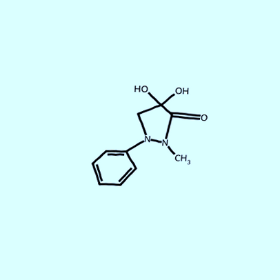 CN1C(=O)C(O)(O)CN1c1ccccc1